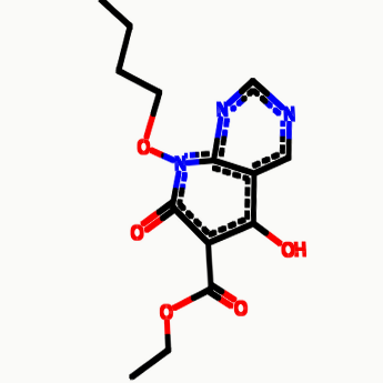 CCCCOn1c(=O)c(C(=O)OCC)c(O)c2cncnc21